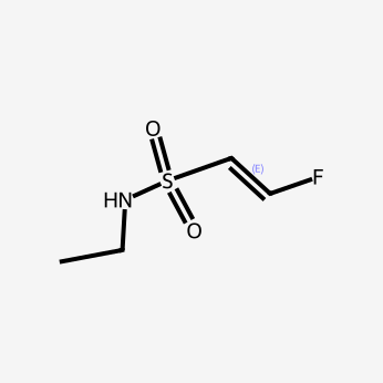 CCNS(=O)(=O)/C=C/F